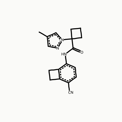 Cc1cnn(C2(C(=O)Nc3ccc(C#N)c4c3CC4)CCC2)c1